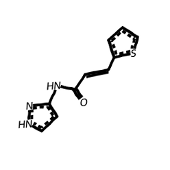 O=C(C=Cc1cccs1)Nc1cc[nH]n1